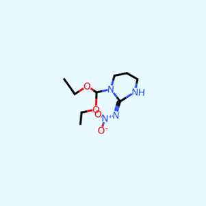 CCOC(OCC)N1CCCN/C1=N/[N+](=O)[O-]